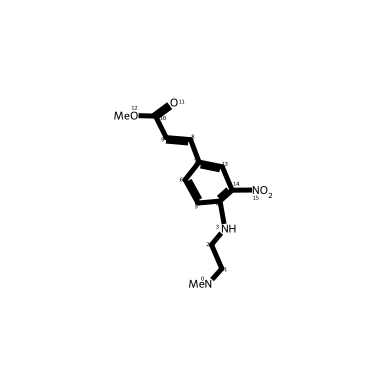 CNCCNc1ccc(/C=C/C(=O)OC)cc1[N+](=O)[O-]